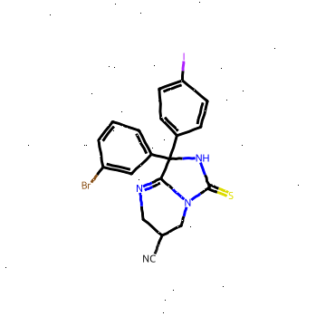 N#CC1CN=C2N(C1)C(=S)NC2(c1ccc(I)cc1)c1cccc(Br)c1